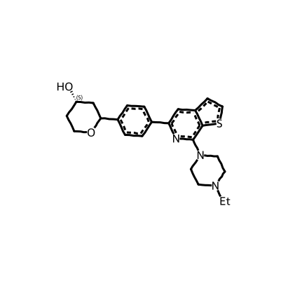 CCN1CCN(c2nc(-c3ccc(C4C[C@@H](O)CCO4)cc3)cc3ccsc23)CC1